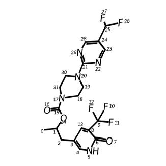 CC(Cc1c[nH]c(=O)c(C(F)(F)F)c1)OC(=O)N1CCN(c2ncc(C(F)F)cn2)CC1